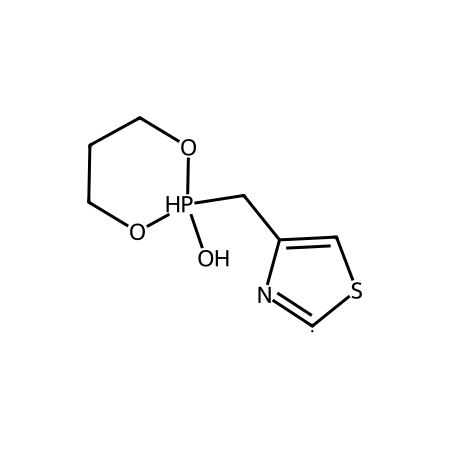 O[PH]1(Cc2cs[c]n2)OCCCO1